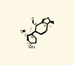 C=C1CCC2[C@H](C=O)C([C@@]3(C)CC[C@H](O)C[C@@H]3C=O)CC[C@]12C